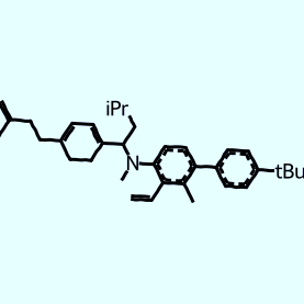 C=Cc1c(N(C)C(CC(C)C)C2=CC=C(CCC(=C)C)CC2)ccc(-c2ccc(C(C)(C)C)cc2)c1C